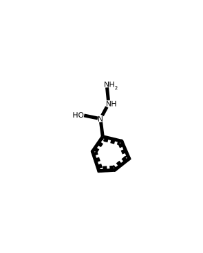 NNN(O)c1ccccc1